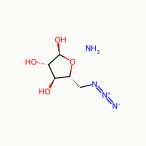 N.[N-]=[N+]=NC[C@H]1O[C@H](O)[C@@H](O)[C@@H]1O